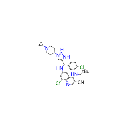 CC(C)(C)CNc1c(C#N)cnc2c(Cl)cc(NC(C3=CN(C4CCN(C5CC5)CC4)NN3)c3ccc(Cl)cc3)cc12